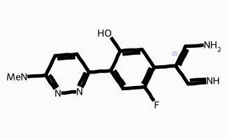 CNc1ccc(-c2cc(F)c(/C(C=N)=C/N)cc2O)nn1